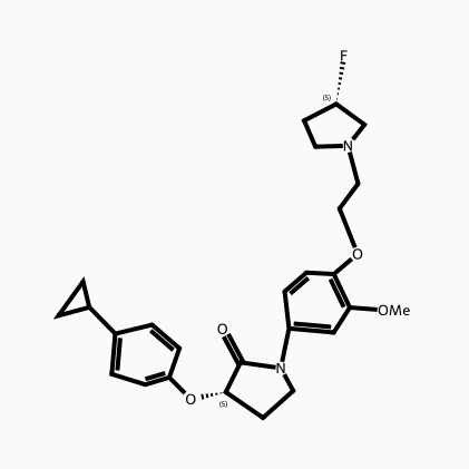 COc1cc(N2CC[C@H](Oc3ccc(C4CC4)cc3)C2=O)ccc1OCCN1CC[C@H](F)C1